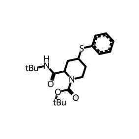 CC(C)(C)NC(=O)C1CC(Sc2ccccc2)CCN1C(=O)OC(C)(C)C